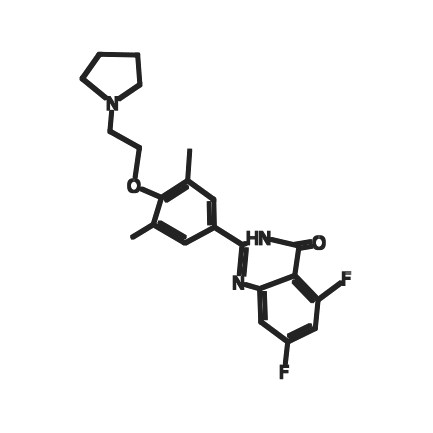 Cc1cc(-c2nc3cc(F)cc(F)c3c(=O)[nH]2)cc(C)c1OCCN1CCCC1